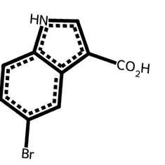 O=C(O)c1c[nH]c2ccc(Br)cc12